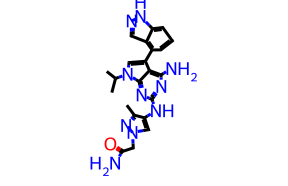 Cc1nn(CC(N)=O)cc1Nc1nc(N)c2c(-c3cccc4[nH]ncc34)cn(C(C)C)c2n1